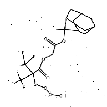 CC1(OC(=O)COC(=O)C(SOOO)(C(F)(F)F)C(F)(F)F)C2CC3CC(C2)CC1C3